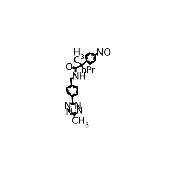 CCCC(C)(C(=O)NCc1ccc(-c2nnc(C)nn2)cc1)c1ccc(N=O)cc1